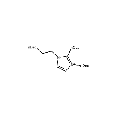 CCCCCCCCCCCCn1cc[n+](CCCCCCCCCC)c1CCCCCCCC